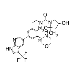 CC1(C)CC(O)CN1C(=O)N1CCc2cc(-c3cnc4[nH]cc(C(F)(F)F)c4c3)cc([C@@H]3COCCN3)c2C1